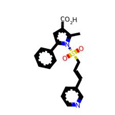 Cc1c(C(=O)O)cc(-c2ccccc2)n1S(=O)(=O)CC=Cc1cccnc1